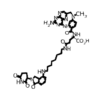 CN(Cc1cnc2nc(N)nc(N)c2n1)c1ccc(C(=O)N[C@@H](CCC(=O)NCCCCCCCCNc2cccc3c2CN(C2CCC(=O)NC2=O)C3=O)C(=O)O)cc1